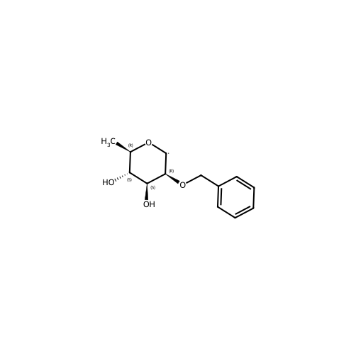 C[C@H]1O[CH][C@@H](OCc2ccccc2)[C@@H](O)[C@@H]1O